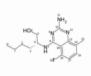 CCCC[C@H](CO)Nc1nc(N)nc2c(C)ccc(F)c12